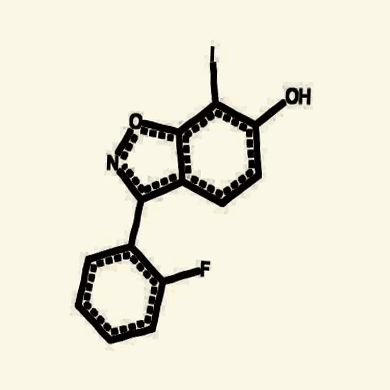 Oc1ccc2c(-c3ccccc3F)noc2c1I